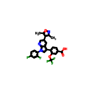 Cc1noc(C)c1-c1cnc2c(c1)c(-c1ccc(C(=O)O)cc1OC(F)(F)F)cn2-c1ccc(F)cc1F